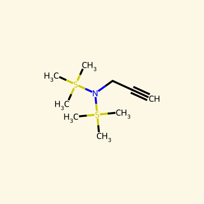 C#CCN(S(C)(C)C)S(C)(C)C